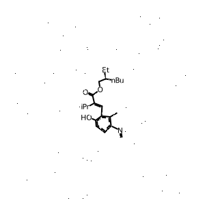 C=Nc1ccc(O)c(/C=C(/C(=O)OC[C@@H](CC)CCCC)C(C)C)c1C